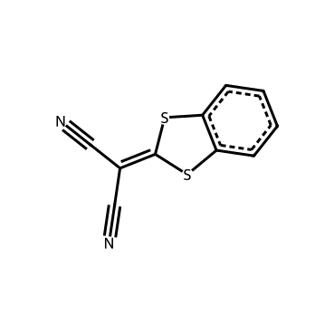 N#CC(C#N)=C1Sc2ccccc2S1